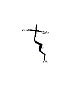 CCCC(C)C(C)(C/C=C/CO)OC